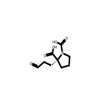 O=CCC[C@@]1(C(=O)O)CCCN1C(=O)O